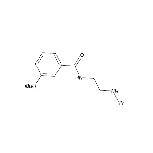 CC(C)COc1cccc(C(=O)NCCNC(C)C)c1